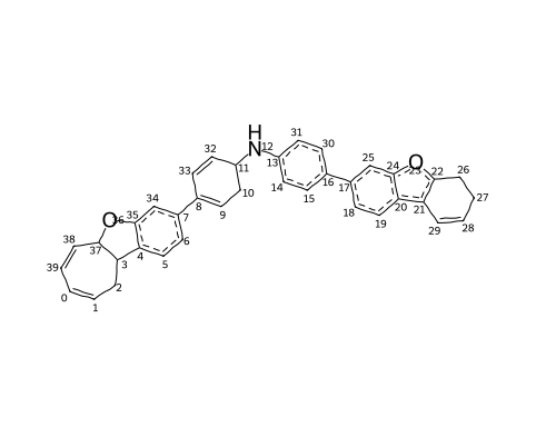 C1=CCC2c3ccc(C4=CCC(Nc5ccc(-c6ccc7c8c(oc7c6)CCC=C8)cc5)C=C4)cc3OC2C=C1